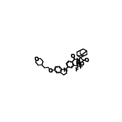 O=C(NC1(C(=O)O)C2CC3CC(C2)CC1C3)c1ccc(N2CCc3cc(OCCC4CCOCC4)ccc32)cc1C(F)(F)F